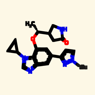 C[C@@H](Oc1cc(-c2ccn(C(C)(C)C)n2)cc2ncn(C3CC3)c12)C1CNC(=O)C1